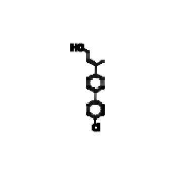 CC(=CCO)c1ccc(-c2ccc(Cl)cc2)cc1